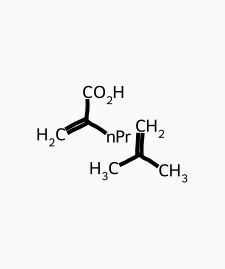 C=C(C)C.C=C(CCC)C(=O)O